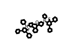 Fc1c(-c2ccccc2)cc(-c2ccccc2)cc1N(c1ccccc1)c1ccc2c(c1)oc1c3ccc(N(c4ccccc4)c4cc(-c5ccccc5)cc(-c5ccccc5)c4F)cc3c3ccccc3c21